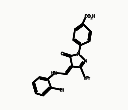 CCCC1=NN(c2ccc(C(=O)O)cc2)C(=O)C1=CNc1ccccc1CC